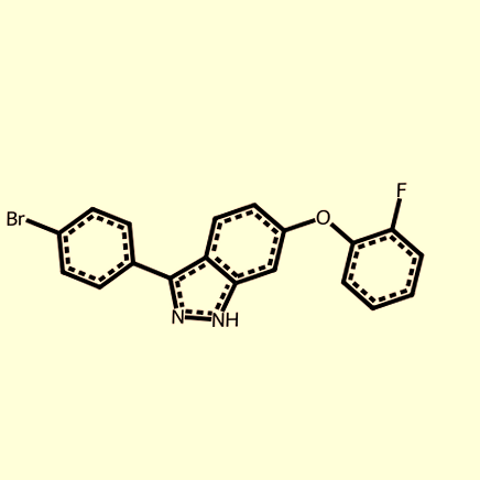 Fc1ccccc1Oc1ccc2c(-c3ccc(Br)cc3)n[nH]c2c1